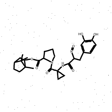 CC1(C)C2CCC1(C)C(OC(=O)C1CCCN1C(=O)C1(NC(=O)C(Cc3ccc(O)c(O)c3)N=O)CC1)C2